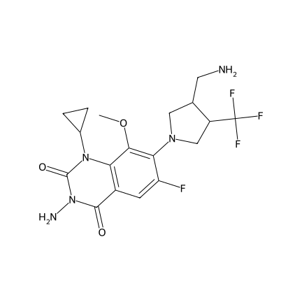 COc1c(N2CC(CN)C(C(F)(F)F)C2)c(F)cc2c(=O)n(N)c(=O)n(C3CC3)c12